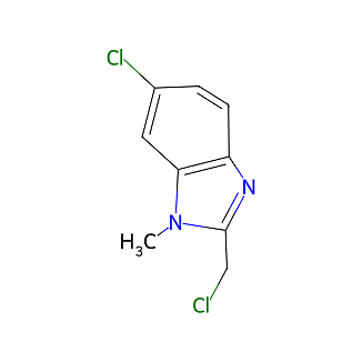 Cn1c(CCl)nc2ccc(Cl)cc21